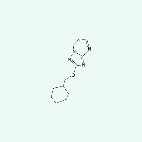 c1cnc2nc(OCC3CCCCC3)nn2c1